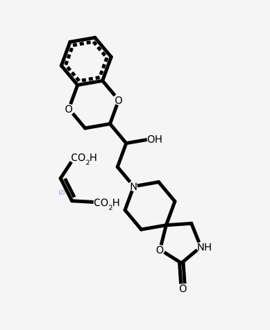 O=C(O)/C=C\C(=O)O.O=C1NCC2(CCN(CC(O)C3COc4ccccc4O3)CC2)O1